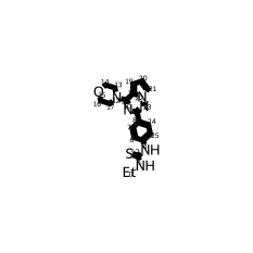 CCNC(=S)Nc1ccc(-c2nc(N3CCOCC3)c3cccn3n2)cc1